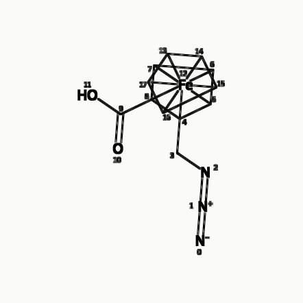 [N-]=[N+]=NC[C]12[CH]3[CH]4[CH]5[C]1(C(=O)O)[Fe]43521678[CH]2[CH]1[CH]6[CH]7[CH]28